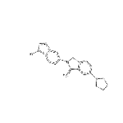 C=C1c2cc(N3CCCC3)ccc2CN1c1ccc2c(ccn2C(C)C)c1